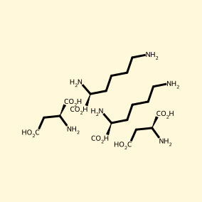 NCCCC[C@H](N)C(=O)O.NCCCC[C@H](N)C(=O)O.N[C@@H](CC(=O)O)C(=O)O.N[C@@H](CC(=O)O)C(=O)O